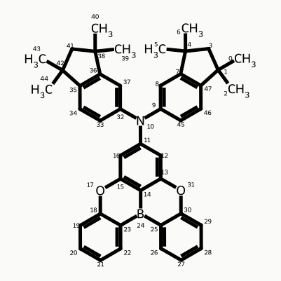 CC1(C)CC(C)(C)c2cc(N(c3cc4c5c(c3)Oc3ccccc3B5c3ccccc3O4)c3ccc4c(c3)C(C)(C)CC4(C)C)ccc21